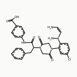 N/C=C\N(N)c1ccc(Cl)cc1N1CC(=O)N(C(Cc2ccccc2)C(=O)Nc2ccc(C(=O)O)cc2)CC1=O